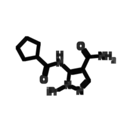 CC(C)n1ncc(C(N)=O)c1NC(=O)C1CCCC1